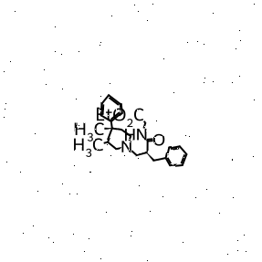 CCOC(=O)CNC(=O)[C@@H](Cc1ccccc1)CN1CC[C@@](C)(c2ccccc2)C(C)C1